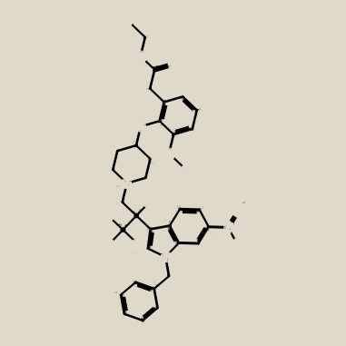 CCOC(=O)Cc1cccc(OC)c1OC1CCN(CC(O)(c2cn(Cc3ccccc3)c3cc([N+](=O)[O-])ccc23)C(F)(F)F)CC1